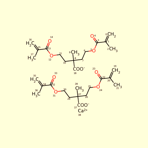 C=C(C)C(=O)OCCC(C)(CCOC(=O)C(=C)C)C(=O)[O-].C=C(C)C(=O)OCCC(C)(CCOC(=O)C(=C)C)C(=O)[O-].[Ca+2]